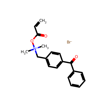 C=CC(=O)O[N+](C)(C)Cc1ccc(C(=O)c2ccccc2)cc1.[Br-]